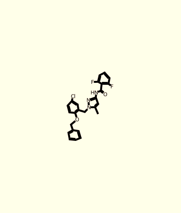 Cc1cc(NC(=O)c2c(F)cccc2F)nn1Cc1cc(Cl)ccc1OCc1ccccc1